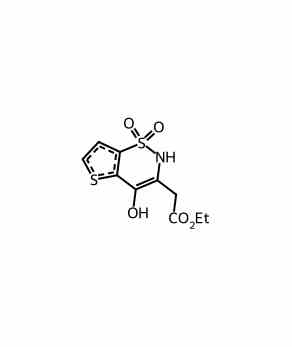 CCOC(=O)CC1=C(O)c2sccc2S(=O)(=O)N1